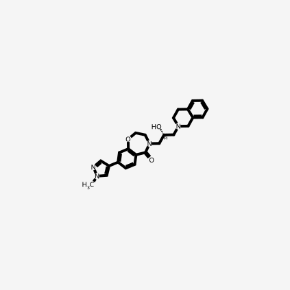 Cn1cc(-c2ccc3c(c2)OCCN(C[C@H](O)CN2CCc4ccccc4C2)C3=O)cn1